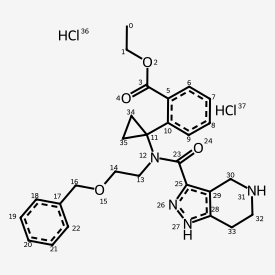 CCOC(=O)c1ccccc1C1(N(CCOCc2ccccc2)C(=O)c2n[nH]c3c2CNCC3)CC1.Cl.Cl